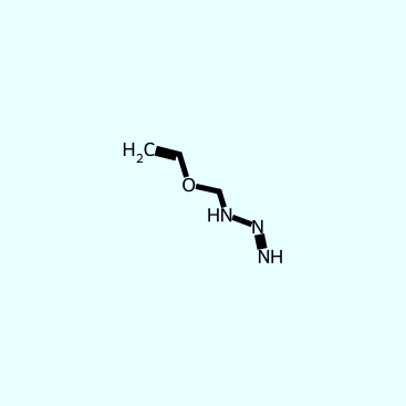 C=COCNN=N